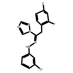 Fc1ccc(CC(=NNc2cccc(Cl)c2)n2cncn2)c(F)c1